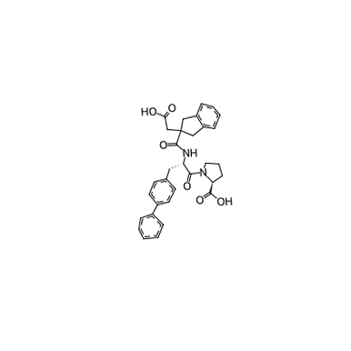 O=C(O)CC1(C(=O)N[C@@H](Cc2ccc(-c3ccccc3)cc2)C(=O)N2CCC[C@H]2C(=O)O)Cc2ccccc2C1